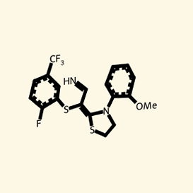 COc1ccccc1N1CCS/C1=C(/C=N)Sc1cc(C(F)(F)F)ccc1F